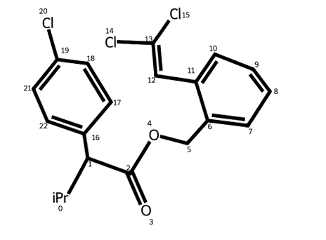 CC(C)C(C(=O)OCc1ccccc1C=C(Cl)Cl)c1ccc(Cl)cc1